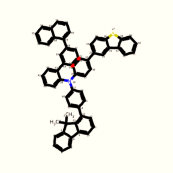 CC1(C)c2ccccc2-c2cccc(-c3ccc(N(c4ccc(-c5ccc6sc7ccccc7c6c5)cc4)c4ccccc4-c4cccc(-c5cccc6ccccc56)c4)cc3)c21